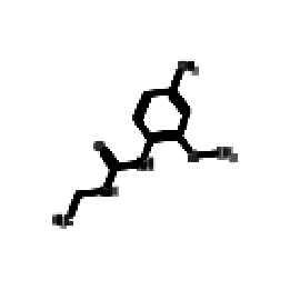 CCNC(=O)Nc1ccc(C)cc1OC